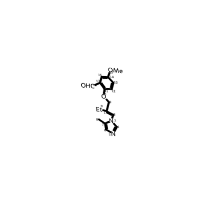 CC/C(=C\n1cncc1C)COc1ccc(OC)cc1C=O